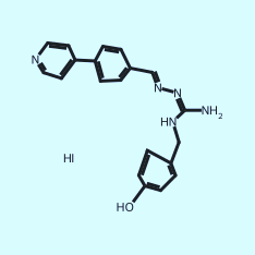 I.NC(=NN=Cc1ccc(-c2ccncc2)cc1)NCc1ccc(O)cc1